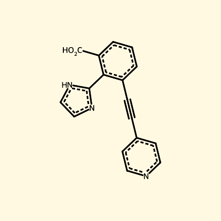 O=C(O)c1cccc(C#Cc2ccncc2)c1-c1ncc[nH]1